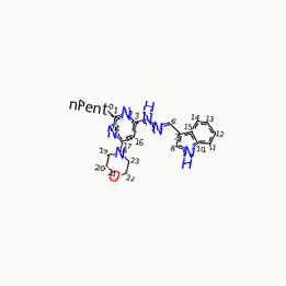 CCCCCc1nc(N/N=C/c2c[nH]c3ccccc23)cc(N2CCOCC2)n1